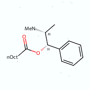 CCCCCCCCC(=O)O[C@@H](c1ccccc1)[C@@H](C)NC